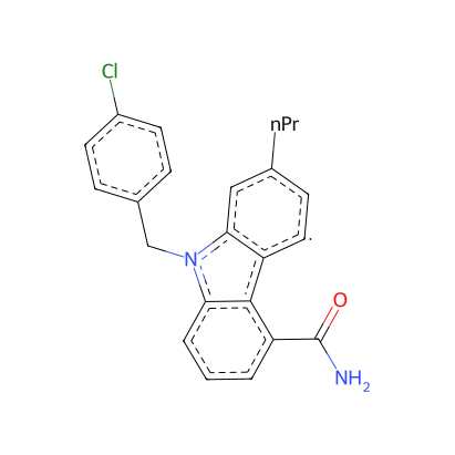 CCCc1c[c]c2c3c(C(N)=O)cccc3n(Cc3ccc(Cl)cc3)c2c1